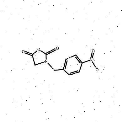 O=C1CN(Cc2ccc([N+](=O)[O-])cc2)C(=O)O1